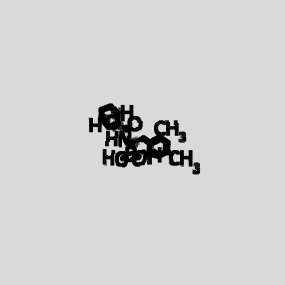 Cc1ccc(C[C@H](NC(=O)[C@@H]2C[C@H]3CC[C@@H]2O3)B(O)O)c(C)c1